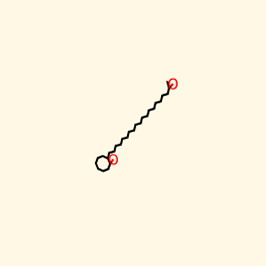 C(CCCCCCCCCC12CCCCCCC1O2)CCCCCCCCC1CO1